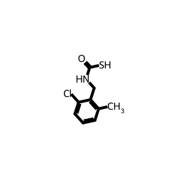 Cc1cccc(Cl)c1CNC(=O)S